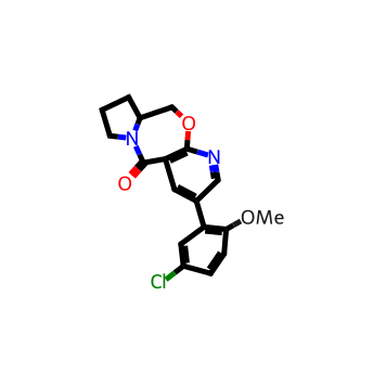 COc1ccc(Cl)cc1-c1cnc2c(c1)C(=O)N1CCCC1CO2